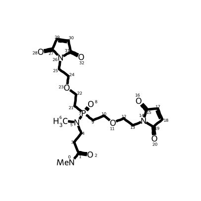 CNC(=O)CCN(C)P(=O)(CCOCCN1C(=O)C=CC1=O)CCOCCN1C(=O)C=CC1=O